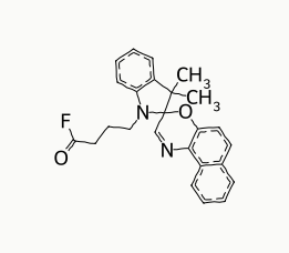 CC1(C)c2ccccc2N(CCCC(=O)F)C12C=Nc1c(ccc3ccccc13)O2